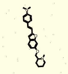 CN(C)c1ccc(/C=C/c2cc3ccc(OCC4CCCCN4C)cc3o2)cc1